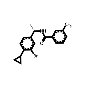 C[C@H](NC(=O)c1cccc(C(F)(F)F)c1)c1ccc(C2CC2)c(Br)c1